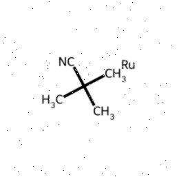 CC(C)(C)C#N.[Ru]